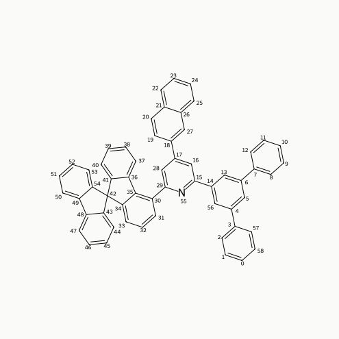 c1ccc(-c2cc(-c3ccccc3)cc(-c3cc(-c4ccc5ccccc5c4)cc(-c4cccc5c4-c4ccccc4C54c5ccccc5-c5ccccc54)n3)c2)cc1